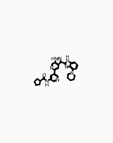 O=C(Nc1cncc(-c2cc3c(-c4nc5c(N6CCCCC6)cccc5[nH]4)n[nH]c3cn2)c1)C1CCCC1